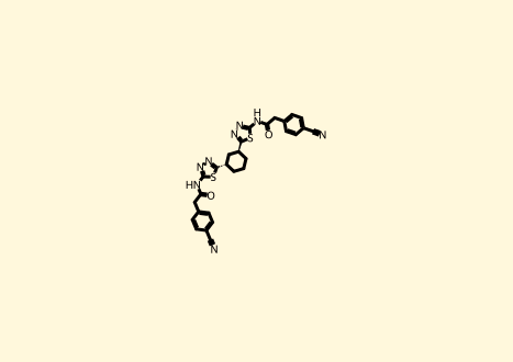 N#Cc1ccc(CC(=O)Nc2nnc([C@H]3CCC[C@H](c4nnc(NC(=O)Cc5ccc(C#N)cc5)s4)C3)s2)cc1